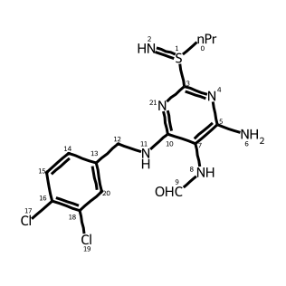 CCCS(=N)c1nc(N)c(NC=O)c(NCc2ccc(Cl)c(Cl)c2)n1